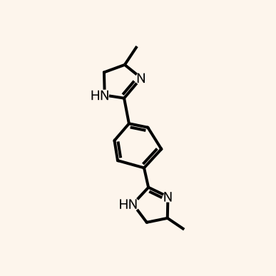 CC1CNC(c2ccc(C3=NC(C)CN3)cc2)=N1